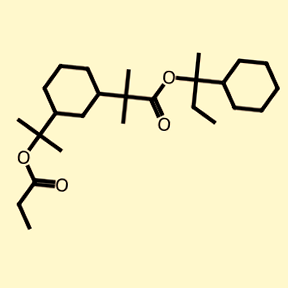 CCC(=O)OC(C)(C)C1CCCC(C(C)(C)C(=O)OC(C)(CC)C2CCCCC2)C1